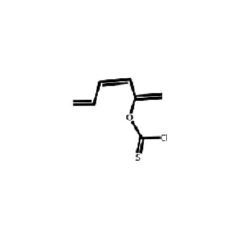 C=C/C=C\C(=C)OC(=S)Cl